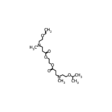 C=COCCN(C)CCC(=O)OCCOC(=O)CCN(C)CCOC(C)C